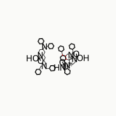 O=C(O)N1CCC(N(c2ccccc2)c2ccccc2)CC1CCCN(Cc1ccccc1)Cc1ccccc1.O=C(O)N1CC[C@H](n2c(=O)[nH]c3ccccc32)C(CCCc2ccccc2)[C@H]1N(Cc1ccccc1)Cc1ccccc1